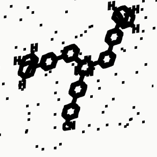 N#Cc1ccc(-c2ccc(-c3nc(-c4cccc(-c5ccc(C67C[C@H]8C[C@@H](C6)C[C@@H](C7)C8)cc5)c4)nc(-c4cccc(-c5ccc(C67C[C@H]8C[C@@H](C6)C[C@@H](C7)C8)cc5)c4)n3)cc2)cc1